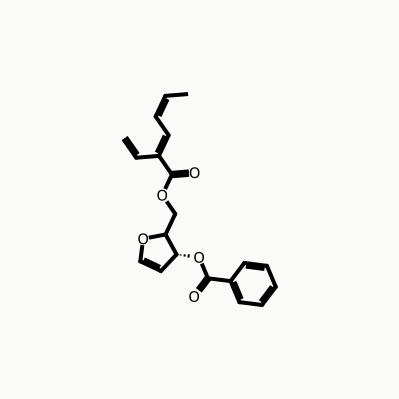 C=C/C(=C\C=C/C)C(=O)OCC1OC=C[C@H]1OC(=O)c1ccccc1